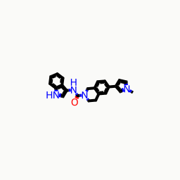 Cn1ccc(-c2ccc3c(c2)CCN(C(=O)Nc2c[nH]c4ccccc24)C3)c1